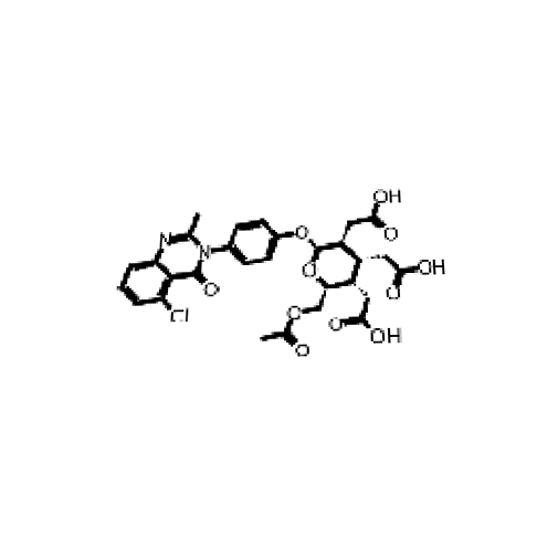 CC(=O)OC[C@H]1O[C@@H](Oc2ccc(-n3c(C)nc4cccc(Cl)c4c3=O)cc2)[C@@H](CC(=O)O)[C@H](CC(=O)O)[C@@H]1CC(=O)O